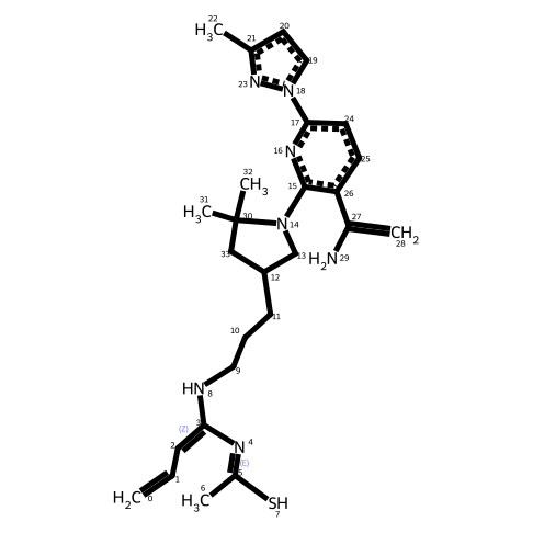 C=C/C=C(\N=C(/C)S)NCCCC1CN(c2nc(-n3ccc(C)n3)ccc2C(=C)N)C(C)(C)C1